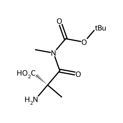 CN(C(=O)OC(C)(C)C)C(=O)[C@@](C)(N)C(=O)O